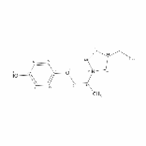 CC(COc1ccc(O)cc1)N1CCC(CF)C1